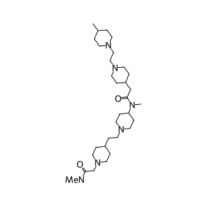 CNC(=O)CN1CCC(CCN2CCC(N(C)C(=O)CC3CCN(CCN4CCC(C)CC4)CC3)CC2)CC1